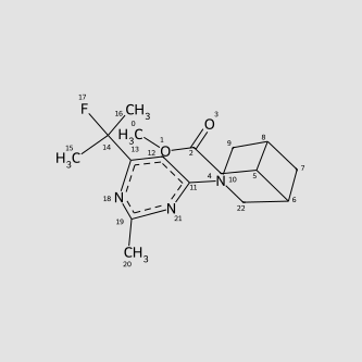 COC(=O)CC1C2CC1CN(c1cc(C(C)(C)F)nc(C)n1)C2